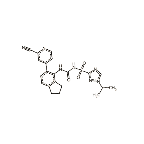 CC(C)n1cnc(S(=O)(=O)NC(=O)Nc2c(-c3ccnc(C#N)c3)ccc3c2CCC3)n1